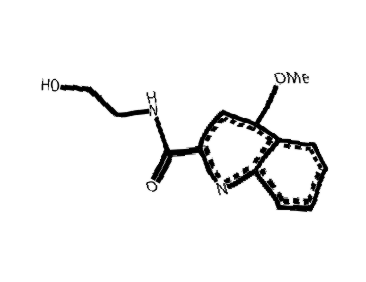 COc1cc(C(=O)NCCO)nc2ccccc12